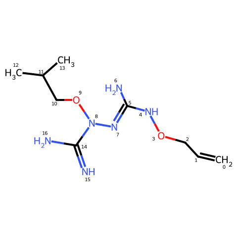 C=CCONC(N)=NN(OCC(C)C)C(=N)N